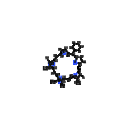 CCC1=C(C)c2cc3nc(c(-c4ccccc4)c4nc(cc5[nH]c(cc6[nH]c(cc1n2)c(CC)c6CC)c(CC)c5C)C=C4)C=C3